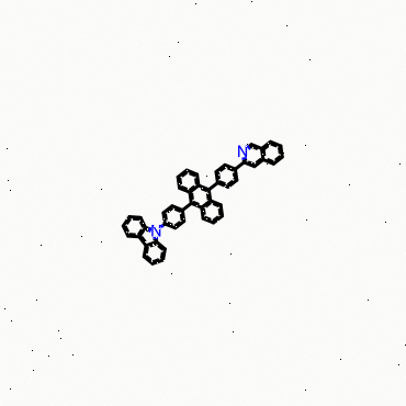 c1ccc2cc(-c3ccc(-c4c5ccccc5c(-c5ccc(-n6c7ccccc7c7ccccc76)cc5)c5ccccc45)cc3)ncc2c1